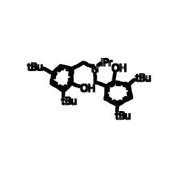 CC(C)N(Cc1cc(C(C)(C)C)cc(C(C)(C)C)c1O)Cc1cc(C(C)(C)C)cc(C(C)(C)C)c1O